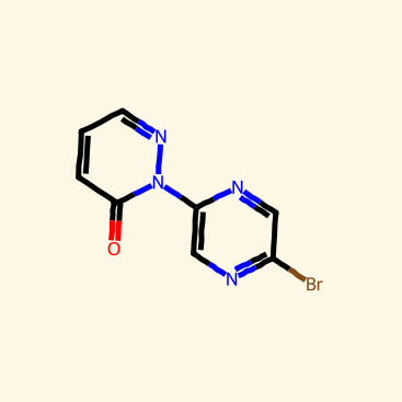 O=c1cccnn1-c1cnc(Br)cn1